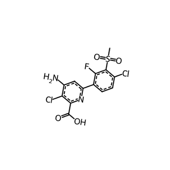 CS(=O)(=O)c1c(Cl)ccc(-c2cc(N)c(Cl)c(C(=O)O)n2)c1F